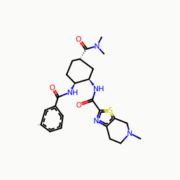 CN1CCc2nc(C(=O)N[C@@H]3C[C@@H](C(=O)N(C)C)CC[C@@H]3NC(=O)c3c[c]ccc3)sc2C1